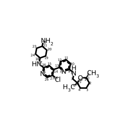 C[C@H]1CCC[C@](C)(CNc2cccc(-c3cc(NC4CCC(N)CC4)ncc3Cl)n2)O1